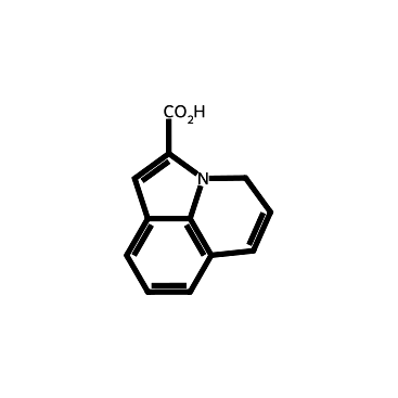 O=C(O)c1cc2cccc3c2n1CC=C3